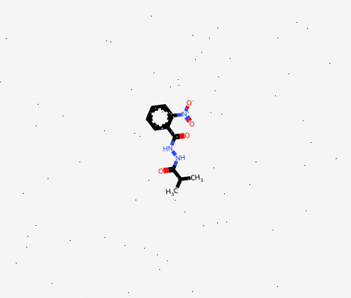 CC(C)C(=O)NNC(=O)c1ccccc1[N+](=O)[O-]